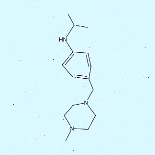 CC(C)Nc1ccc(CN2CCN(C)CC2)cc1